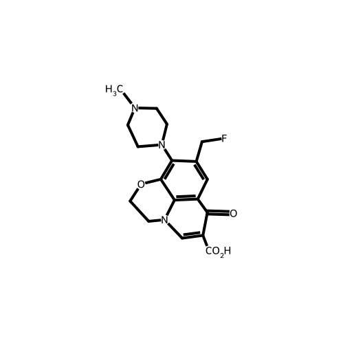 CN1CCN(c2c(CF)cc3c(=O)c(C(=O)O)cn4c3c2OCC4)CC1